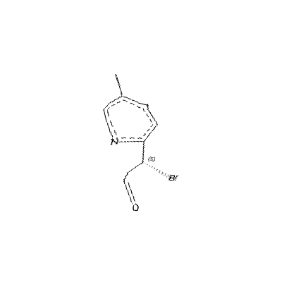 Cc1ccc([C@H](Br)C=O)nc1